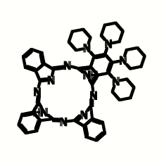 c1ccc2c(c1)-c1nc-2nc2[nH]c(nc3nc(nc4[nH]c(n1)c1ccccc41)-c1ccccc1-3)c1c(N3CCCCC3)c(N3CCCCC3)c(N3CCCCC3)c(N3CCCCC3)c21